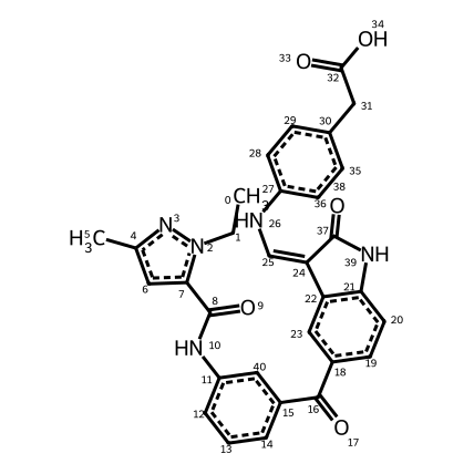 CCn1nc(C)cc1C(=O)Nc1cccc(C(=O)c2ccc3c(c2)C(=CNc2ccc(CC(=O)O)cc2)C(=O)N3)c1